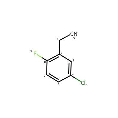 N#CCc1cc(Cl)ccc1F